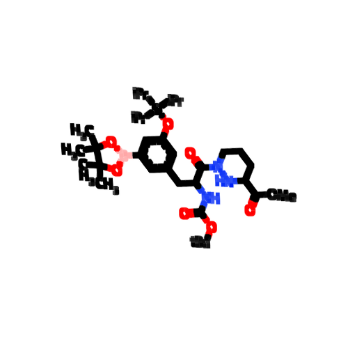 COC(=O)C1CCCN(C(=O)C(Cc2cc(O[Si](C(C)C)(C(C)C)C(C)C)cc(B3OC(C)(C)C(C)(C)O3)c2)NC(=O)OC(C)(C)C)N1